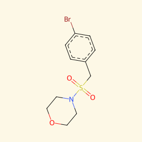 O=S(=O)(Cc1ccc(Br)cc1)N1CCOCC1